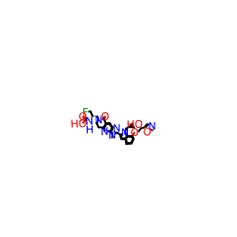 Cn1c(-c2cc3cccc(OCC(O)c4cnco4)c3n2CC2CC2)nc2cc3c(nc21)CCN(C[C@@H](CF)NC(=O)O)C3=O